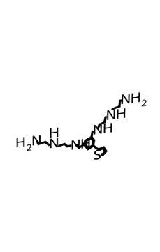 NCCCNCCCNCc1cc(CNCCCNCCCN)cc(-c2cccs2)c1